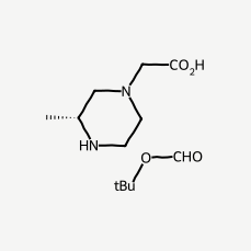 CC(C)(C)OC=O.C[C@@H]1CN(CC(=O)O)CCN1